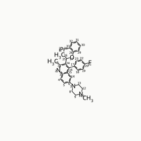 Cc1nc2ccc(N3CCN(C)CC3)cc2c(-c2ccc(F)cc2)c1C(C)Oc1ccccc1C(C)C